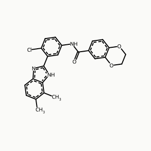 Cc1ccc2nc(-c3cc(NC(=O)c4ccc5c(c4)OCCO5)ccc3Cl)[nH]c2c1C